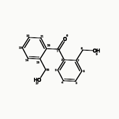 O=C(c1ccccc1CO)c1ccccc1CO